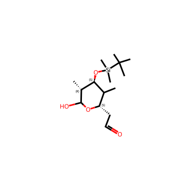 CC1[C@H](CC=O)OC(O)[C@H](C)[C@H]1O[Si](C)(C)C(C)(C)C